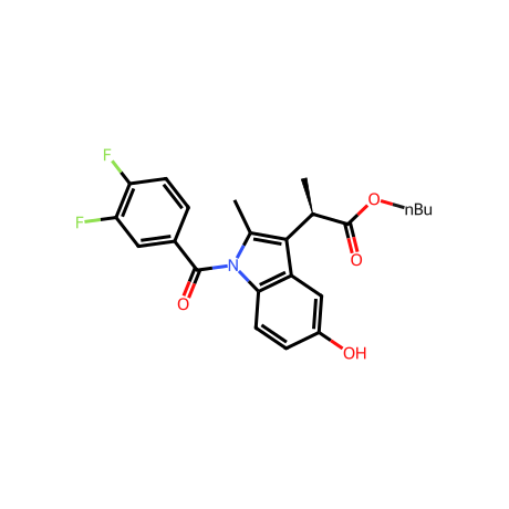 CCCCOC(=O)[C@H](C)c1c(C)n(C(=O)c2ccc(F)c(F)c2)c2ccc(O)cc12